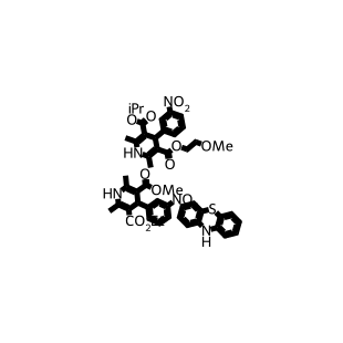 CCOC(=O)C1=C(C)NC(C)=C(C(=O)OC)C1c1cccc([N+](=O)[O-])c1.COCCOC(=O)C1=C(C)NC(C)=C(C(=O)OC(C)C)C1c1cccc([N+](=O)[O-])c1.c1ccc2c(c1)Nc1ccccc1S2